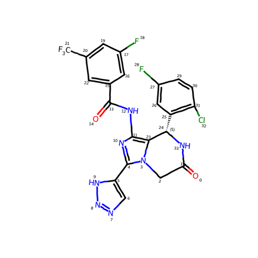 O=C1Cn2c(-c3cnn[nH]3)nc(NC(=O)c3cc(F)cc(C(F)(F)F)c3)c2[C@H](c2cc(F)ccc2Cl)N1